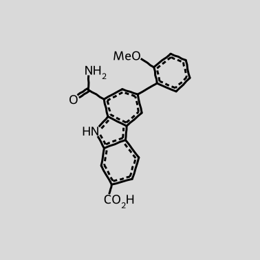 COc1ccccc1-c1cc(C(N)=O)c2[nH]c3cc(C(=O)O)ccc3c2c1